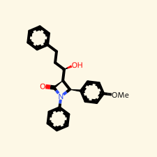 COc1ccc([C@@H]2[C@H]([C@H](O)CCc3ccccc3)C(=O)N2c2ccccc2)cc1